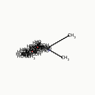 CCCCCCCCCCCCC/C=C/[C@@H](O)[C@H](CO[C@@H]1OC(CO)[C@@H](O[C@@H]2OC(CO)[C@H](O)[C@H](O[C@@H]3OC(CO)[C@@H](O[C@@H]4OC(CO)[C@H](O)[C@H](O[C@@H]5OC(CO)[C@@H](O[C@@H]6OC(CO)[C@H](O)[C@H](O)C6O)[C@H](O)C5NC(C)=O)C4O)[C@H](O[C@H]4OC(C)[C@@H](O)C(O)[C@@H]4O)C3NC(C)=O)C2O)[C@H](O)C1O)NC(=O)CCCCCCCCCCCCCCCCCCCCC